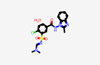 Cc1nc2ccccc2n1NC(=O)c1ccc(Cl)c(S(=O)(=O)N=CN(C)C)c1.O